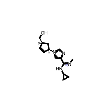 C/N=C(/NC1CC1)c1cn([C@H]2C=C[C@@H](CO)C2)cn1